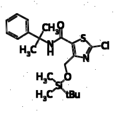 CC(C)(NC(=O)c1sc(Cl)nc1CO[Si](C)(C)C(C)(C)C)c1ccccc1